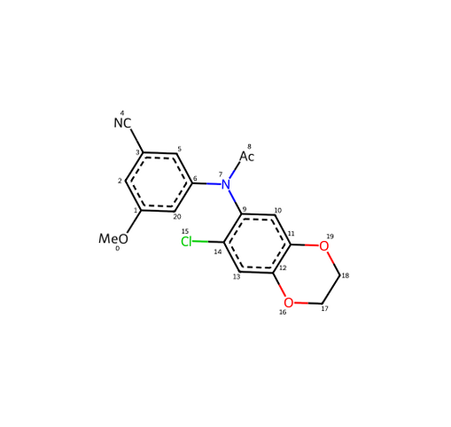 COc1cc(C#N)cc(N(C(C)=O)c2cc3c(cc2Cl)OCCO3)c1